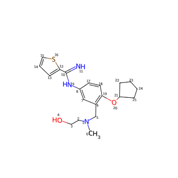 CN(CCO)Cc1cc(NC(=N)c2cccs2)ccc1OC1CCCC1